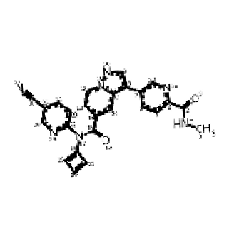 CNC(=O)c1ccc(-c2cnn3ccc(C(=O)N(C4=CC=C4)c4ccc(C#N)cn4)cc23)cn1